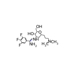 CN(C)CCCC1CC(N/C=C(\N)c2cc(F)c(F)c(F)c2)C(O)C(CO)O1